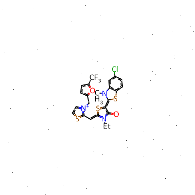 CCn1c(=O)/c(=C2\Sc3ccc(Cl)cc3N2C)s/c1=C\c1scc[n+]1Cc1ccc(C(F)(F)F)o1